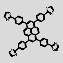 c1csc(-c2ccc(-c3cc(-c4ccc(-c5nccs5)cc4)c4ccc5c(-c6ccc(-c7nccs7)cc6)cc(-c6ccc(-c7nccs7)cc6)c6ccc3c4c65)cc2)n1